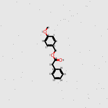 COc1ccc(COC(=O)Cc2ccccc2)cc1